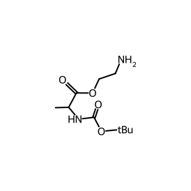 CC(NC(=O)OC(C)(C)C)C(=O)OCCN